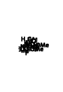 CO/N=C(/C(=O)OC)c1cccc(C)c1CO/N=C(\C)c1ncccc1C(F)F